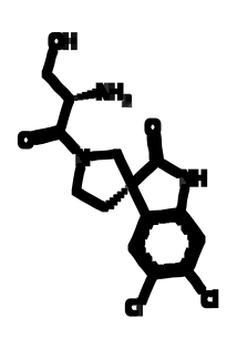 N[C@@H](CO)C(=O)N1CC[C@]2(C1)C(=O)Nc1cc(Cl)c(Cl)cc12